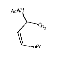 CCC/C=C\C(C)NC(C)=O